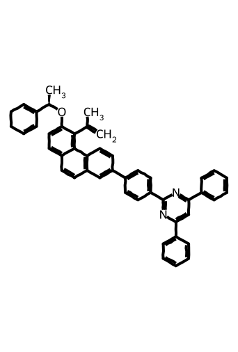 C=C(C)c1c(O[C@H](C)C2=CCCC=C2)ccc2ccc3cc(-c4ccc(-c5nc(-c6ccccc6)cc(-c6ccccc6)n5)cc4)ccc3c12